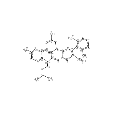 C#Cc1ncc([C@H](CC(=O)O)NC(=O)[C@@H](CCC(C)C)n2ccc(C)cc2=O)cc1-c1c(C)cccc1C